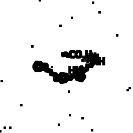 C(=C\c1cccc2c(CCCc3nnn[nH]3)c[nH]c12)/c1ccc(OCCCCOc2ccccc2)cc1.C=CCC(=O)O